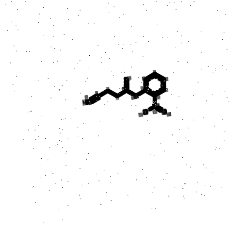 C#CCCC(=O)Oc1ccccc1[N+](=O)[O-]